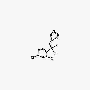 CC(Cl)(Cn1cncn1)c1ccc(Cl)cc1Cl